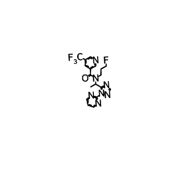 CC(c1ncnn1-c1ncccn1)N(CCCF)C(=O)c1cncc(C(F)(F)F)c1